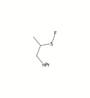 CCCCC(C)SF